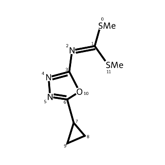 CSC(=Nc1nnc(C2CC2)o1)SC